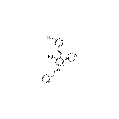 Cc1cccc(/C=N/c2c(N)nc(OCCc3ccccn3)nc2N2CCOCC2)c1